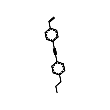 C=Cc1ccc(C#Cc2ccc(CCC)cc2)cc1